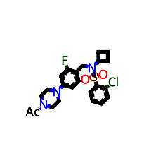 CC(=O)N1CCN(c2ccc(CN(C3CCC3)S(=O)(=O)c3ccccc3Cl)c(F)c2)CC1